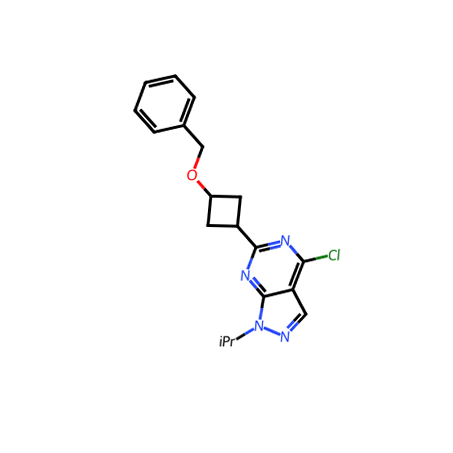 CC(C)n1ncc2c(Cl)nc(C3CC(OCc4ccccc4)C3)nc21